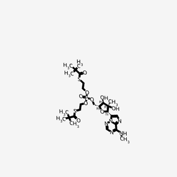 CNc1ncnn2c([C@@H]3O[C@H](COP(=O)(OCCSC(=O)C(C)(C)C)OCCSC(=O)C(C)(C)C)[C@@H](O)[C@@]3(C)O)cnc12